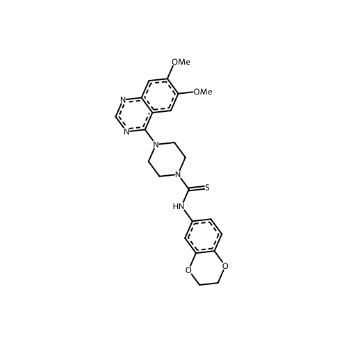 COc1cc2ncnc(N3CCN(C(=S)Nc4ccc5c(c4)OCCO5)CC3)c2cc1OC